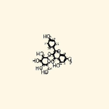 COc1cc(O)c2c(=O)c(O[C@H]3O[C@H](CO)[C@@H](O)C(O)C3O)c(-c3ccc(O)cc3)oc2c1